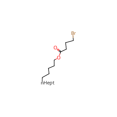 CCCCCCCCCCCCOC(=O)CCCBr